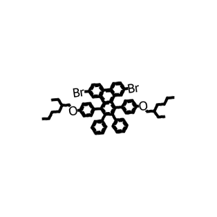 CCCCC(CC)COc1ccc(-c2c(-c3ccccc3)c(-c3ccccc3)c(-c3ccc(OCC(CC)CCCC)cc3)c3c4cc(Br)ccc4c4ccc(Br)cc4c23)cc1